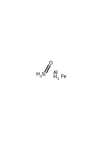 O=[SiH2].[AlH3].[Fe]